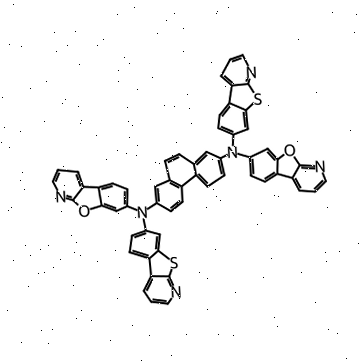 c1cnc2oc3cc(N(c4ccc5c(ccc6cc(N(c7ccc8c(c7)oc7ncccc78)c7ccc8c(c7)sc7ncccc78)ccc65)c4)c4ccc5c(c4)sc4ncccc45)ccc3c2c1